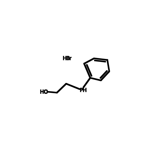 Br.OCCPc1ccccc1